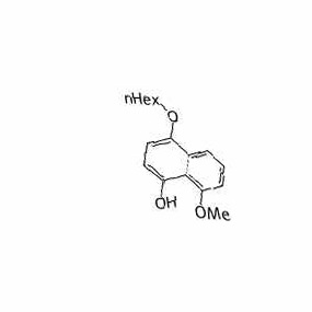 CCCCCCOc1ccc(O)c2c(OC)cccc12